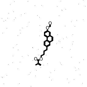 C=C(C)C(=O)OCCCCc1ccc2c(ccc3cc(OC=O)ccc32)c1